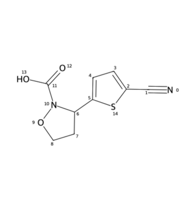 N#Cc1ccc(C2CCON2C(=O)O)s1